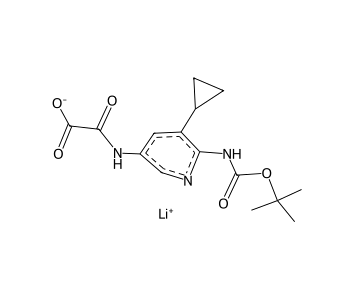 CC(C)(C)OC(=O)Nc1ncc(NC(=O)C(=O)[O-])cc1C1CC1.[Li+]